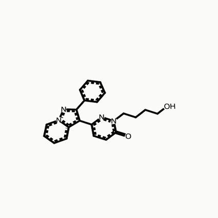 O=c1ccc(-c2c(-c3ccccc3)nn3ccccc23)nn1CCCCO